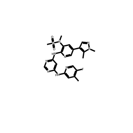 Cc1cc(Nc2cc(Nc3ncc(-c4cnn(C)c4C)cc3N(C)S(C)(=O)=O)ncn2)ncc1F